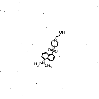 CN(C)c1cccc2c(S(=O)(=O)N3CCN(CCO)CC3)cccc12